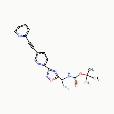 CC(NC(=O)OC(C)(C)C)c1nc(-c2ccc(C#Cc3ccccn3)cn2)no1